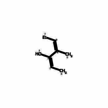 C/C=C(O)\C(C)=C/CC